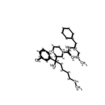 CNC[C@H](CC1CCCCC1)NC(=O)N1CCOC(C(O)(CCCCOC)c2cccc(Cl)c2)C1